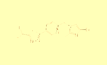 Cc1nc(Br)cn1Cc1ccc(-c2nnc(C(F)F)o2)cn1